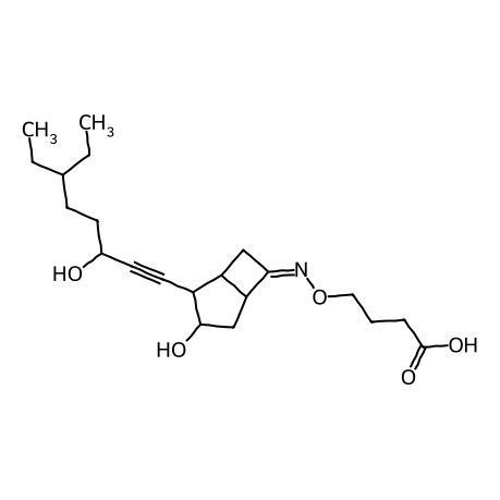 CCC(CC)CCC(O)C#CC1C(O)CC2C(=NOCCCC(=O)O)CC21